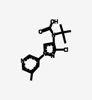 Cc1cncc(-n2cc(N(C(=O)O)C(C)(C)C)c(Cl)n2)c1